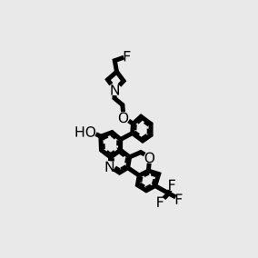 Oc1cc(-c2ccccc2OCCN2CC(CF)C2)c2c3c(cnc2c1)-c1ccc(C(F)(F)F)cc1OC3